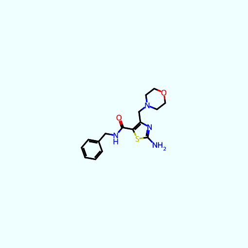 Nc1nc(CN2CCOCC2)c(C(=O)NCc2ccccc2)s1